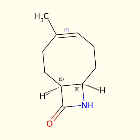 C/C1=C/CC[C@H]2NC(=O)[C@H]2CC1